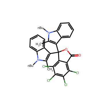 CCCCn1c(C)c(C2(c3c(C)n(CCCC)c4ccccc34)OC(=O)c3c(Cl)c(Cl)c(Cl)c(Cl)c32)c2ccccc21